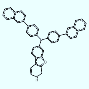 C1=Cc2c(oc3cc(N(c4ccc(-c5ccc6ccccc6c5)cc4)c4ccc(-c5ccc6ccccc6c5)cc4)ccc23)CN1